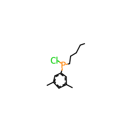 CCCCCP(Cl)c1cc(C)cc(C)c1